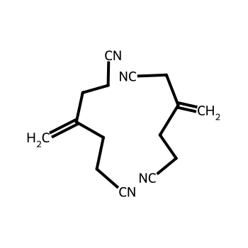 C=C(CC#N)CCC#N.C=C(CCC#N)CCC#N